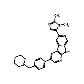 Cc1ncc(-c2cc3c(cn2)[nH]c2ncc(-c4ccc(CN5CCCCC5)cc4)cc23)n1C